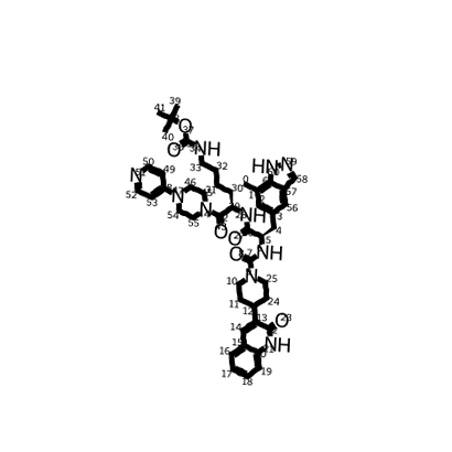 Cc1cc(C[C@@H](NC(=O)N2CCC(c3cc4ccccc4[nH]c3=O)CC2)C(=O)N[C@H](CCCCNC(=O)OC(C)(C)C)C(=O)N2CCN(c3ccncc3)CC2)cc2cn[nH]c12